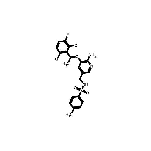 Cc1ccc(S(=O)(=O)NCc2cnc(N)c(OC(C)c3c(Cl)ccc(F)c3Cl)c2)cc1